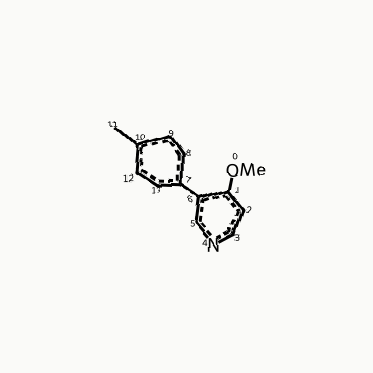 COc1ccncc1-c1ccc(C)cc1